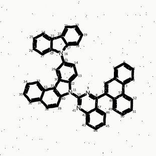 c1ccc2c(c1)cc(-c1nc(-n3c4ccc(-n5c6ccccc6c6ccccc65)cc4c4c5ccccc5ccc43)nc3ccccc13)c1ccccc12